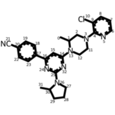 CC1CN(c2ncccc2Cl)CCN1c1cc(-c2ccc(C#N)cc2)nc(N2CCCC2C)n1